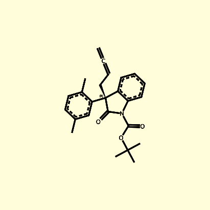 C=C=CC[C@]1(c2cc(C)ccc2C)C(=O)N(C(=O)OC(C)(C)C)c2ccccc21